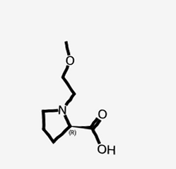 COCCN1CCC[C@@H]1C(=O)O